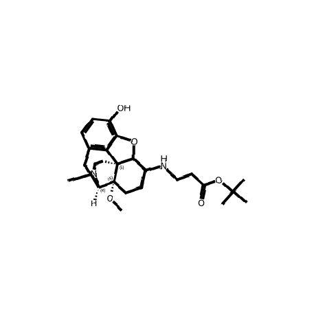 CO[C@@]12CCC(NCCC(=O)OC(C)(C)C)C3Oc4c(O)ccc5c4[C@@]31CCN(C)[C@@H]2C5